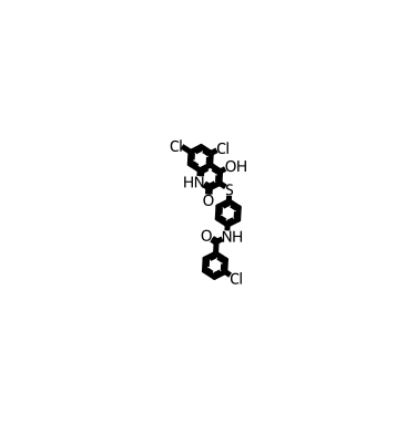 O=C(Nc1ccc(Sc2c(O)c3c(Cl)cc(Cl)cc3[nH]c2=O)cc1)c1cccc(Cl)c1